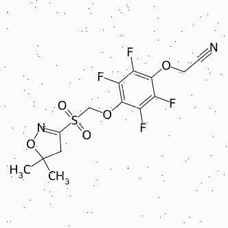 CC1(C)CC(S(=O)(=O)COc2c(F)c(F)c(OCC#N)c(F)c2F)=NO1